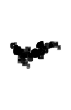 CCOC(=O)[C@H]1CCCN1C(=O)c1ccc(C(=O)N[C@@H](C)c2nc3cc(Cl)ccc3[nH]2)cc1Cl